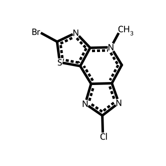 Cn1cc2nc(Cl)nc-2c2sc(Br)nc21